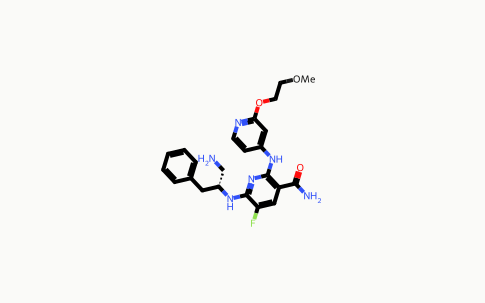 COCCOc1cc(Nc2nc(N[C@@H](CN)Cc3ccccc3)c(F)cc2C(N)=O)ccn1